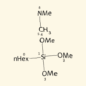 CCCCCC[Si](OC)(OC)OC.CNC